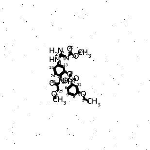 CCOc1cccc(S(=O)(=O)Oc2cc(NC(N)=NC(=O)OC)ccc2NC(=O)COC)c1